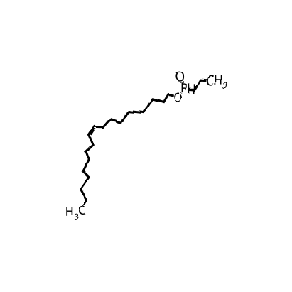 CCCCCCCC/C=C\CCCCCCCCO[PH](=O)CCC